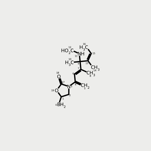 BC1CN(C(=C)/C=C(\C)C(C)(NC(=O)O)/C(C)=C\C)C(=O)O1